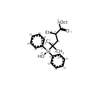 CCCCCCCCC(=O)C(CC)CC(C)(C)[Si](O)(c1ccccc1)c1ccccc1